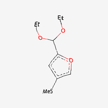 CCOC(OCC)c1cc(SC)co1